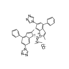 CC1=Cc2c(-c3ccccc3)cc(-n3cnnc3)cc2[C@@H]1[Zr+2]([C@H]1C(C)=Cc2c(-c3ccccc3)cc(-n3cnnc3)cc21)=[Si](C)C.[Cl-].[Cl-]